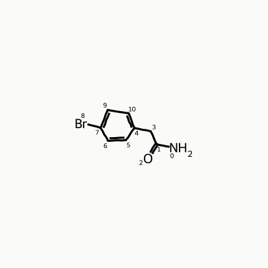 NC(=O)Cc1ccc(Br)cc1